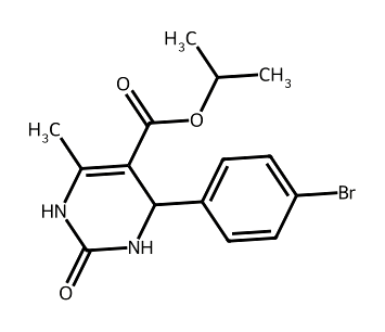 CC1=C(C(=O)OC(C)C)C(c2ccc(Br)cc2)NC(=O)N1